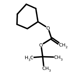 C=C(OC1CCCCC1)OC(C)(C)C